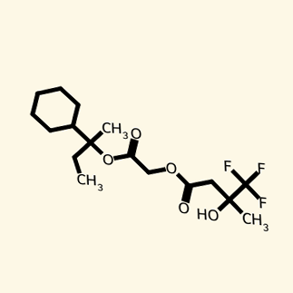 CCC(C)(OC(=O)COC(=O)CC(C)(O)C(F)(F)F)C1CCCCC1